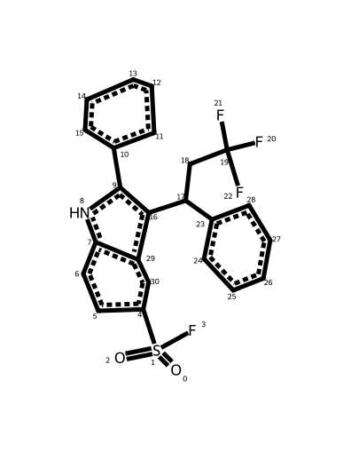 O=S(=O)(F)c1ccc2[nH]c(-c3ccccc3)c(C(CC(F)(F)F)c3ccccc3)c2c1